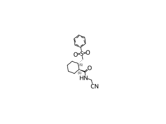 N#CCNC(=O)[C@H]1CCCC[C@@H]1CS(=O)(=O)c1ccccc1